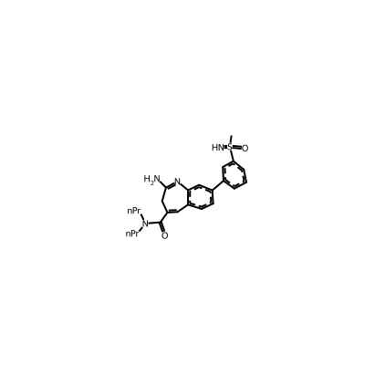 CCCN(CCC)C(=O)C1=Cc2ccc(-c3cccc(S(C)(=N)=O)c3)cc2N=C(N)C1